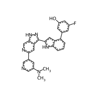 CN(C)c1cncc(-c2cc3c(-c4cc5c(-c6cc(O)cc(F)c6)cccc5[nH]4)n[nH]c3cn2)c1